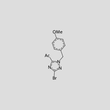 COc1ccc(Cn2nc(Br)nc2C(C)=O)cc1